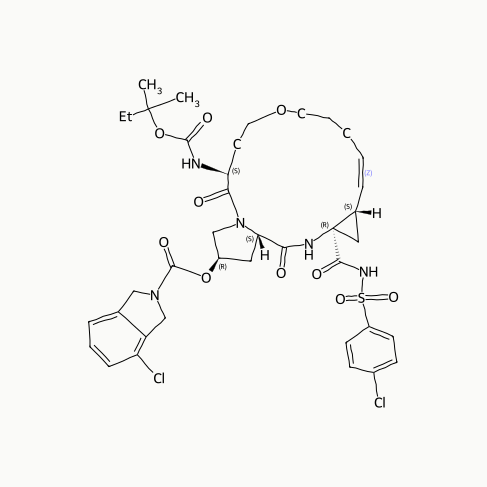 CCC(C)(C)OC(=O)N[C@H]1CCOCCC/C=C\[C@@H]2C[C@@]2(C(=O)NS(=O)(=O)c2ccc(Cl)cc2)NC(=O)[C@@H]2C[C@@H](OC(=O)N3Cc4cccc(Cl)c4C3)CN2C1=O